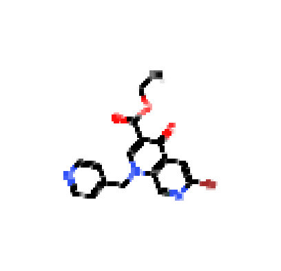 CCOC(=O)c1cn(Cc2ccncc2)c2cnc(Br)cc2c1=O